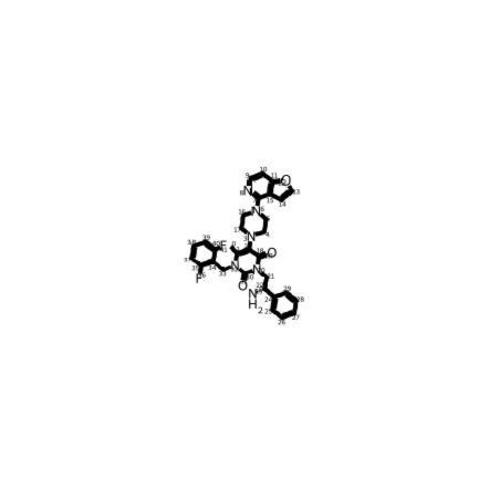 Cc1c(N2CCN(c3nccc4occc34)CC2)c(=O)n(C[C@@H](N)c2ccccc2)c(=O)n1Cc1c(F)cccc1F